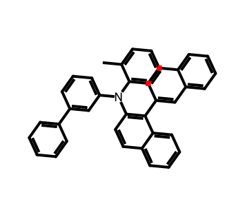 Cc1ccccc1N(c1cccc(-c2ccccc2)c1)c1ccc2ccccc2c1-c1ccc2ccccc2c1